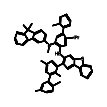 Cc1ccc(C)c(-c2cc(C)cc(-c3cc4c(cc3Bc3cc(C(C)C)c(-c5ccccc5C)cc3N(C)c3ccc5c(c3)-c3ccccc3C5(C)C)sc3ccccc34)c2C)c1